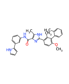 COc1ccc(-c2nc(C(=O)Nc3cccc(-c4ccc[nH]4)c3)c(C)[nH]2)c(C)c1-c1ccccc1C